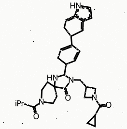 CC(C)C(=O)N1CCC2(CC1)NC(C1C=CC(C3C=c4cc[nH]c4=CC3)=CC1)N(CC1CN(C(=O)C3CC3)C1)C2=O